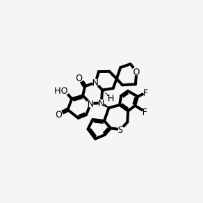 O=C1c2c(O)c(=O)ccn2N([C@@H]2c3ccccc3SCc3c2ccc(F)c3F)[C@@H]2CC3(CCOCC3)CCN12